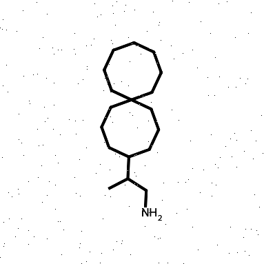 CC(CN)C1CCCC2(CCCCCCC2)CCC1